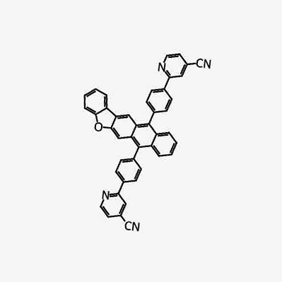 N#Cc1ccnc(-c2ccc(-c3c4ccccc4c(-c4ccc(-c5cc(C#N)ccn5)cc4)c4cc5c(cc34)oc3ccccc35)cc2)c1